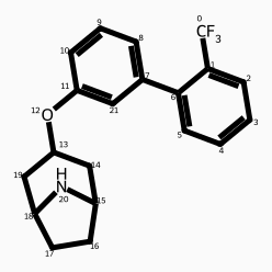 FC(F)(F)c1ccccc1-c1cccc(OC2CC3CCC(C2)N3)c1